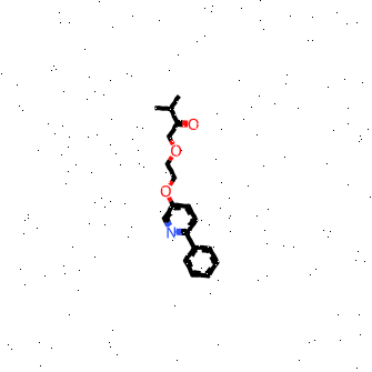 CC(C)C(=O)COCCOc1ccc(-c2ccccc2)nc1